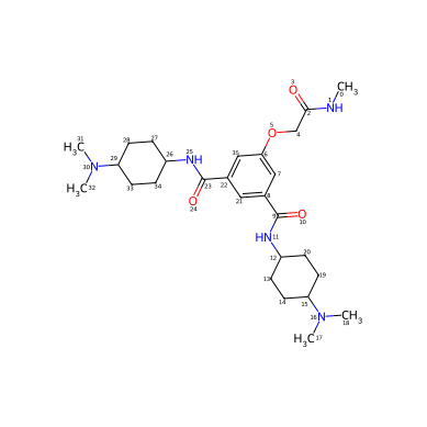 CNC(=O)COc1cc(C(=O)NC2CCC(N(C)C)CC2)cc(C(=O)NC2CCC(N(C)C)CC2)c1